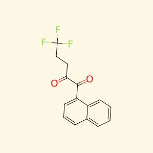 O=C(CCC(F)(F)F)C(=O)c1cccc2ccccc12